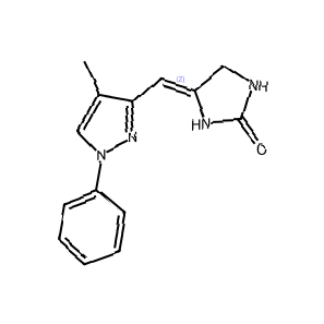 Cc1cn(-c2ccccc2)nc1/C=C1/CNC(=O)N1